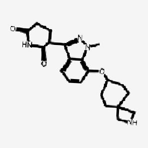 Cn1nc(C2CCC(=O)NC2=O)c2cccc(OC3CCC4(CC3)CNC4)c21